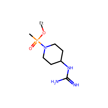 CCOP(C)(=O)N1CCC(NC(=N)N)CC1